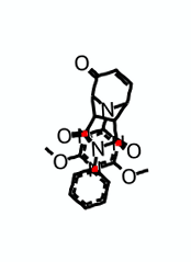 COc1nc(OC)nc(N2C3C=CC(=O)C2C2C(=O)N(c4ccccc4)C(=O)C23)n1